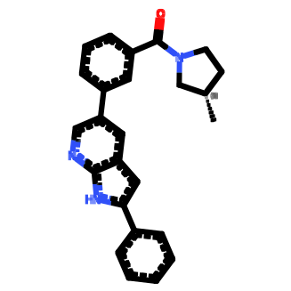 C[C@H]1CCN(C(=O)c2cccc(-c3cnc4[nH]c(-c5ccccc5)cc4c3)c2)C1